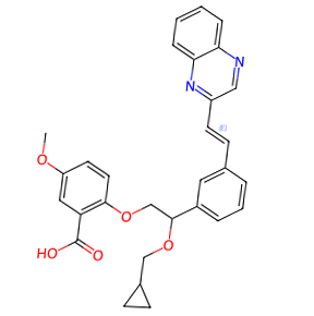 COc1ccc(OCC(OCC2CC2)c2cccc(/C=C/c3cnc4ccccc4n3)c2)c(C(=O)O)c1